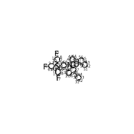 Fc1ccc([Si](c2ccc(F)cc2)(c2ccc(F)cc2)c2ccc(N(c3ccc(-c4ccccc4)c4ccccc34)c3cccc4c3oc3c5ccccc5ccc43)cc2)cc1